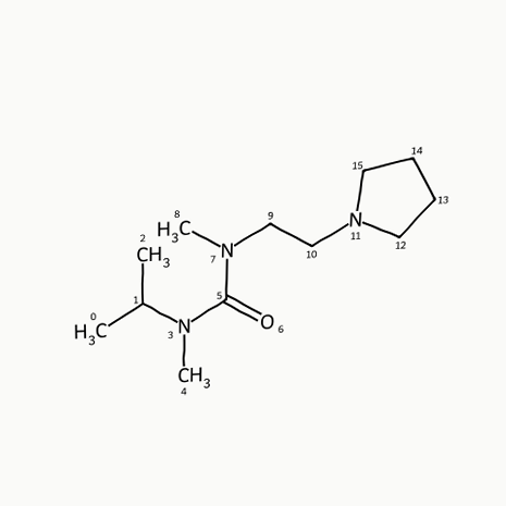 CC(C)N(C)C(=O)N(C)CCN1CCCC1